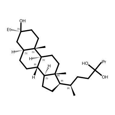 CC[C@]1(O)CC[C@@]2(C)[C@@H](CC[C@@H]3[C@@H]2CC[C@]2(C)[C@@H]([C@H](C)CCC(O)(O)C(C)C)CC[C@@H]32)C1